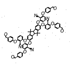 CC1(C)c2cc(Oc3cccc(Oc4ccc(C=O)cc4)c3C#N)c(Oc3cccc(Oc4ccc(C=O)cc4)c3C#N)cc2C2C1c1cc(Oc3cccc(Oc4ccc(C=O)cc4)c3C#N)c(Oc3cccc(Oc4ccc(C=O)cc4)c3C#N)cc1C2(C)C